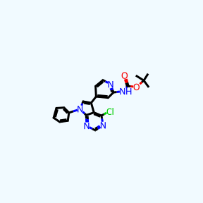 CC(C)(C)OC(=O)Nc1cc(-c2cn(-c3ccccc3)c3ncnc(Cl)c23)ccn1